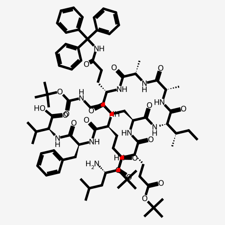 CC[C@H](C)[C@H](NC(=O)[C@H](CCCCNC(=O)OC(C)(C)C)NC(=O)[C@H](CCC(=O)OC(C)(C)C)NC(=O)[C@@H](N)CC(C)C)C(=O)N[C@@H](C)C(=O)N[C@@H](C)C(=O)N[C@@H](CCC(=O)NC(c1ccccc1)(c1ccccc1)c1ccccc1)C(=O)N[C@@H](CCC(=O)OC(C)(C)C)C(=O)N[C@@H](Cc1ccccc1)C(=O)N[C@H](C(=O)O)C(C)C